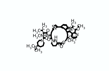 CCn1c(-c2cccnc2[C@H](C)OC)c2c3cc(ccc31)-c1csc(n1)C[C@H](NC(=O)[C@H](C(C)C)N(C)C(=O)N1CCC[C@@H](N(C)C)CC1)C(=O)N1CCC[C@@](O)(N1)C(=O)OCC(C)(C)C2